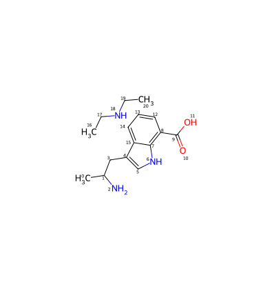 CC(N)Cc1c[nH]c2c(C(=O)O)cccc12.CCNCC